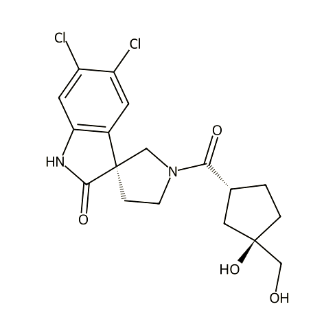 O=C([C@@H]1CC[C@](O)(CO)C1)N1CC[C@]2(C1)C(=O)Nc1cc(Cl)c(Cl)cc12